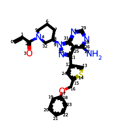 C=CC(=O)N1CCCC(n2nc(-c3csc(COc4ccccc4)c3)c3c(N)ncnc32)C1